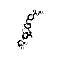 Cc1cn([C@@H]2CCN(CC3CCN(C(=O)OC(C)(C)C)CC3)C[C@H]2F)c2ncc(N3CCC(=O)NC3=O)cc12